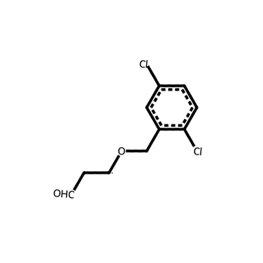 O=CC[CH]OCc1cc(Cl)ccc1Cl